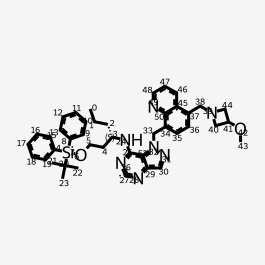 CCC[C@@H](CCO[Si](c1ccccc1)(c1ccccc1)C(C)(C)C)Nc1n[c]nc2cnn(Cc3ccc(CN4CC(OC)C4)c4cccnc34)c12